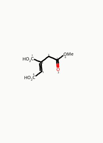 COC(=O)CC(=CC(=O)O)C(=O)O